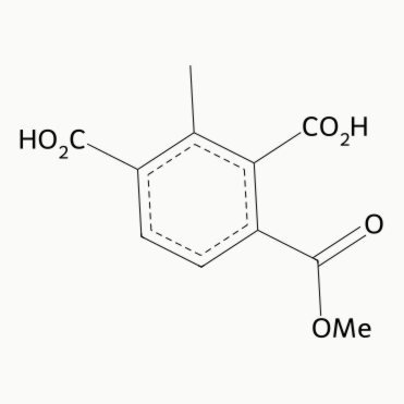 COC(=O)c1ccc(C(=O)O)c(C)c1C(=O)O